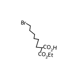 CCOC(=O)C(CCCCCCBr)C(=O)O